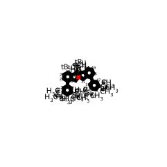 CC(C)(C)[Si](C(C)(C)C)=[Hf]([CH3])([CH3])([CH]1C=Cc2c(-c3cc([Si](C)(C)C)cc([Si](C)(C)C)c3)cccc21)[CH]1C=Cc2c(-c3cc([Si](C)(C)C)cc([Si](C)(C)C)c3)cccc21